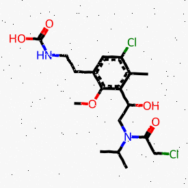 COc1c(CCNC(=O)O)cc(Cl)c(C)c1C(O)CN(C(=O)CCl)C(C)C